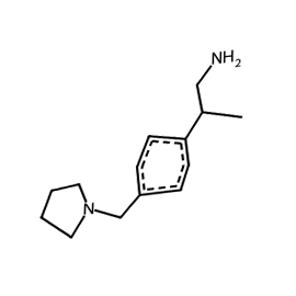 CC(CN)c1ccc(CN2CCCC2)cc1